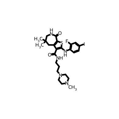 CN1CCN(CCCNC(=O)c2c(Nc3ccc(I)cc3F)sc3c2CC(C)(C)CNC3=O)CC1